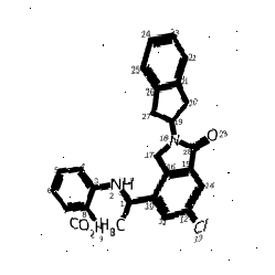 CC(Nc1ccccc1C(=O)O)c1cc(Cl)cc2c1CN(C1Cc3ccccc3C1)C2=O